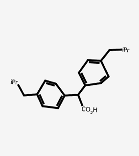 CC(C)Cc1ccc(C(C(=O)O)c2ccc(CC(C)C)cc2)cc1